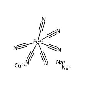 N#[C][Fe-4]([C]#N)([C]#N)([C]#N)([C]#N)[C]#N.[Cu+2].[Na+].[Na+]